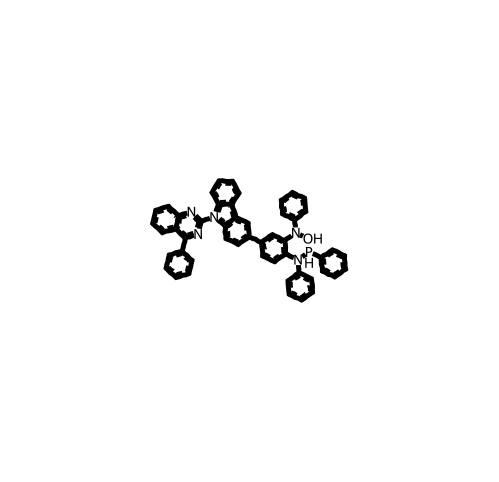 ON(c1ccccc1)c1cc(-c2ccc3c(c2)c2ccccc2n3-c2nc(-c3ccccc3)c3ccccc3n2)ccc1N(Pc1ccccc1)c1ccccc1